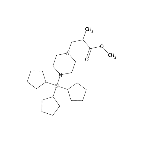 COC(=O)C(C)CN1CCN([Si](C2CCCC2)(C2CCCC2)C2CCCC2)CC1